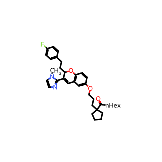 CCCCCCC(=O)C1(CCCOc2ccc3c(c2)C=C(c2nccn2C)C(CCc2ccc(F)cc2)O3)CCCC1